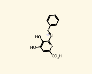 O=C(O)c1cc(O)c(O)c(/N=N/c2ccccc2)n1